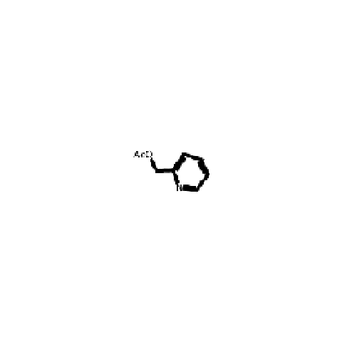 CC(=O)OCc1c[c]ccn1